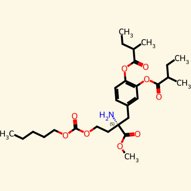 CCCCCOC(=O)OCC[C@@](N)(Cc1ccc(OC(=O)C(C)CC)c(OC(=O)C(C)CC)c1)C(=O)OC